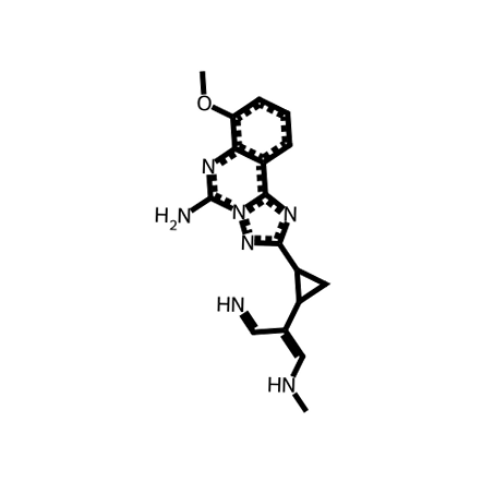 CN/C=C(\C=N)C1CC1c1nc2c3cccc(OC)c3nc(N)n2n1